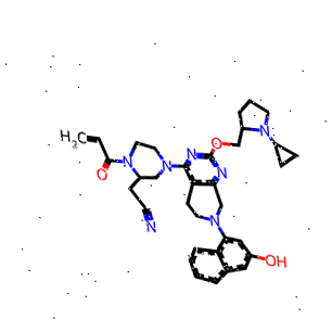 C=CC(=O)N1CCN(c2nc(OCC3CCCN3C3CC3)nc3c2CCN(c2cc(O)cc4ccccc24)C3)CC1CC#N